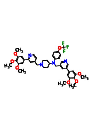 COc1cc(-c2cncc(CN(c3ccc(OC(F)(F)F)cc3)C3CCN(Cc4ccnc(-c5cc(OC)c(OC)c(OC)c5)c4)CC3)c2)cc(OC)c1OC